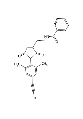 CC#Cc1cc(C)c(C2C(=O)CC(CCNC(=O)c3ccccn3)C2=O)c(C)c1